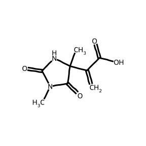 C=C(C(=O)O)C1(C)NC(=O)N(C)C1=O